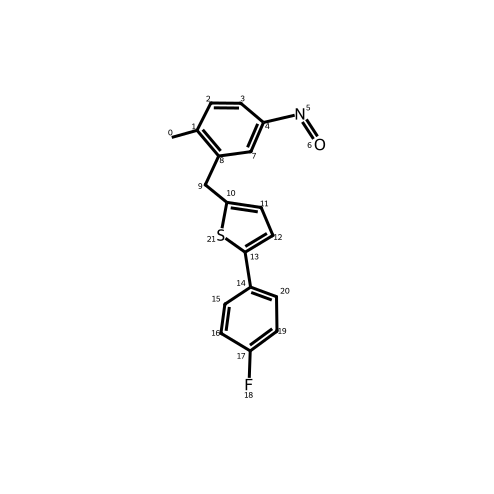 Cc1ccc(N=O)cc1Cc1ccc(-c2ccc(F)cc2)s1